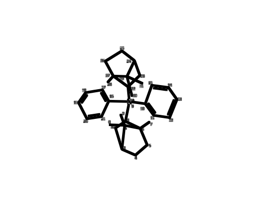 CC1(C)C2CCC1(C)C([N+](c1ccccc1)(c1ccccc1)C1CC3CCC1(C)C3(C)C)C2